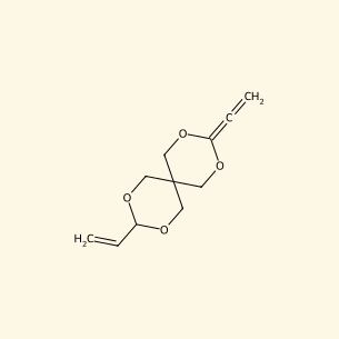 C=C=C1OCC2(CO1)COC(C=C)OC2